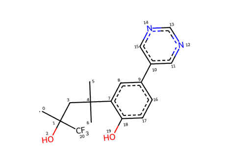 [CH2]C(O)(CC(C)(C)c1cc(-c2cncnc2)ccc1O)C(F)(F)F